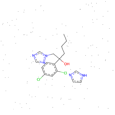 CCCCC(O)(Cn1cncn1)c1ccc(Cl)cc1Cl.c1c[nH]cn1